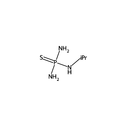 CC(C)NP(N)(N)=S